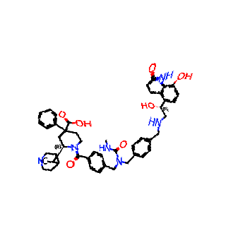 CNC(=O)N(Cc1ccc(CNC[C@H](O)c2ccc(O)c3[nH]c(=O)ccc23)cc1)Cc1ccc(C(=O)N2CCC(C(=O)O)(c3ccccc3)C[C@@H]2C2CN3CCC2CC3)cc1